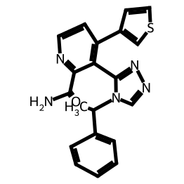 CC(c1ccccc1)n1cnnc1-c1c(-c2ccsc2)ccnc1C(N)=O